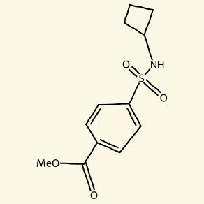 COC(=O)c1ccc(S(=O)(=O)NC2CCC2)cc1